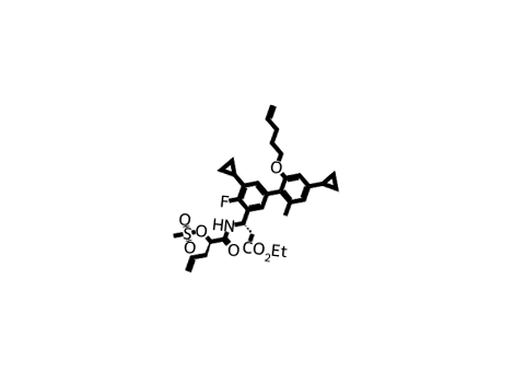 C=CCCCOc1cc(C2CC2)cc(C)c1-c1cc(C2CC2)c(F)c([C@H](CC(=O)OCC)NC(=O)[C@@H](CC=C)OS(C)(=O)=O)c1